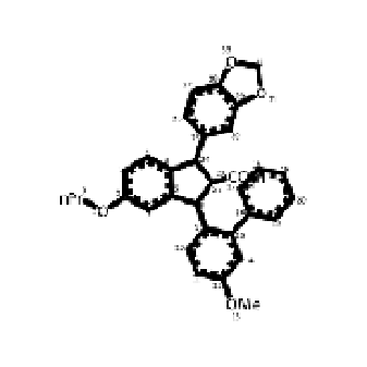 CCCOc1ccc2c(c1)C(c1ccc(OC)cc1-c1ccccc1)C(C(=O)O)C2c1ccc2c(c1)OCO2